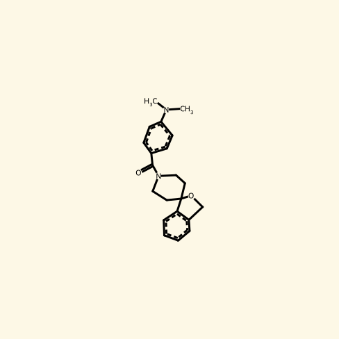 CN(C)c1ccc(C(=O)N2CCC3(CC2)OCc2ccccc23)cc1